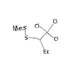 CCC(SSC)C(Cl)(Cl)Cl